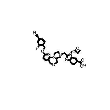 N#Cc1ccc(COc2ccc3c(n2)N2CCN(Cc4nc5ccc(C(=O)O)cc5n4C[C@@H]4CCO4)CC2COC3)c(F)c1